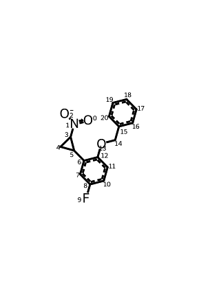 O=[N+]([O-])C1CC1c1cc(F)ccc1OCc1ccccc1